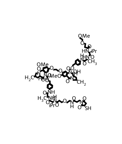 C=C1C[C@H]2C(O)N(C(=O)OCc3ccc(NC(=O)[C@H](C)NC(=O)[C@@H](NC(=O)CCOCCNC(=O)CCN4C(=O)CC(S)C4=O)C(C)C)cc3)c3cc(OCCCOc4cc5c(cc4OC)C(=O)N4CC(=C)C[C@H]4C(O)N5C(=O)OCc4ccc(NC(=O)[C@H](C)NC(=O)[C@@H](NC(=O)CCOCCOC)C(C)C)cc4)c(OC)cc3C(=O)N2C1